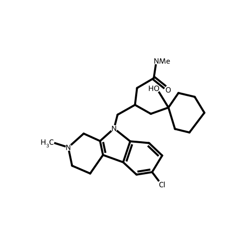 CNC(=O)CC(Cn1c2c(c3cc(Cl)ccc31)CCN(C)C2)CC1(O)CCCCC1